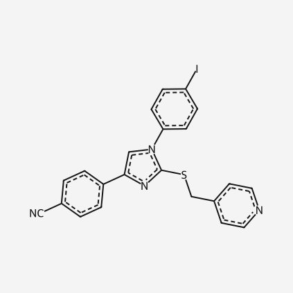 N#Cc1ccc(-c2cn(-c3ccc(I)cc3)c(SCc3ccncc3)n2)cc1